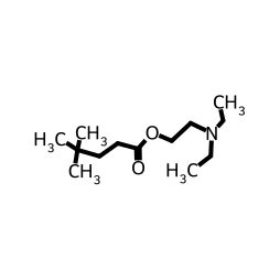 CCN(CC)CCOC(=O)CCC(C)(C)C